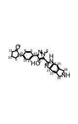 Cn1nc(-c2ccc(N3CCCC3=O)cc2)c(O)c1-c1nc2cc3c(cc2[nH]1)CNC3